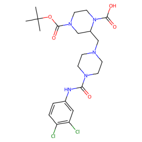 CC(C)(C)OC(=O)N1CCN(C(=O)O)C(CN2CCN(C(=O)Nc3ccc(Cl)c(Cl)c3)CC2)C1